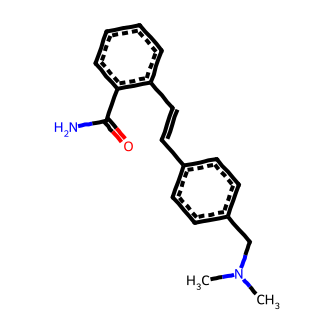 CN(C)Cc1ccc(C=Cc2ccccc2C(N)=O)cc1